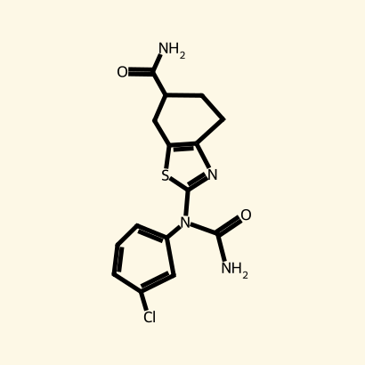 NC(=O)C1CCc2nc(N(C(N)=O)c3cccc(Cl)c3)sc2C1